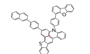 c1cc(-c2ccc(-c3ccc4ccccc4c3)cc2)cc(N(c2ccc(-c3cccc4c3oc3ccccc34)cc2)c2ccccc2-c2ccc3sc4ccccc4c3c2)c1